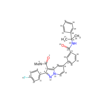 CNC(=O)c1c(-c2ccc(F)cc2)nn2ccc(-c3cccc(C(=O)NC(C)(C)c4ccccc4)c3)cc12